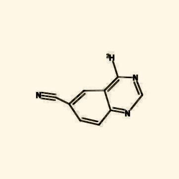 [2H]c1ncnc2ccc(C#N)cc12